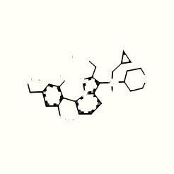 COCc1cc(OC)c(-c2cccc3c([N+](C)(CC4CC4)C4CCOCC4)c(COC)nn23)c(OC)c1